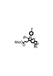 COC(=O)/C=C/c1c(C(C)C)n(-c2ccc(F)cc2)c2nc3cnn(C(C)=O)c3cc12